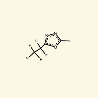 Cc1nnc(C(F)(F)C(F)(F)F)o1